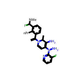 C=C(c1cccc(C(F)NC)c1CCC)N1C=CC(N(N)c2ncccc2F)=C(N)C1C